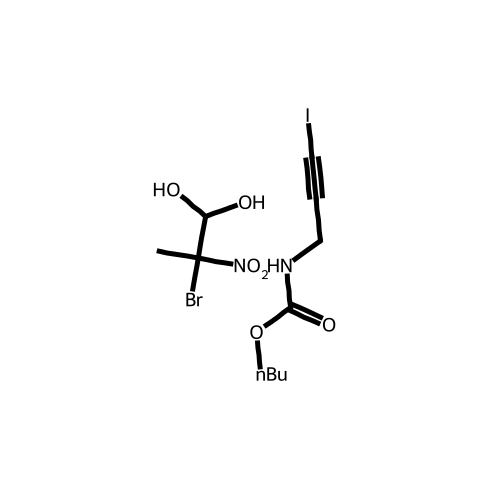 CC(Br)(C(O)O)[N+](=O)[O-].CCCCOC(=O)NCC#CI